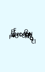 O=C(C[C@@H](C(F)F)n1ccc(F)n1)N1CCC(O)(Cn2cnc3c(cnn3-c3ccc(Cl)cc3)c2=O)CC1